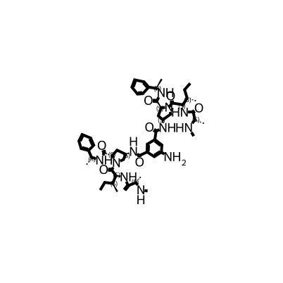 C=C(N[C@H](C(=O)N1C[C@@H](NC(=O)c2cc(N)cc(C(=O)N[C@H]3C[C@@H](C(=O)N[C@H](C)c4ccccc4)N(C(=O)[C@@H](NC(=O)[C@H](C)NC)[C@@H](C)CC)C3)c2)C[C@H]1C(=O)N[C@H](C)c1ccccc1)[C@@H](C)CC)[C@H](C)NC